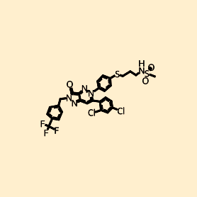 CS(=O)(=O)NCCCSc1ccc(-n2nc3c(=O)n(Cc4ccc(C(F)(F)F)cc4)nc-3cc2-c2ccc(Cl)cc2Cl)cc1